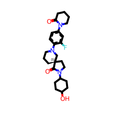 O=C1CCCCN1c1ccc(N2CCC[C@]3(CCN(C4CCC(O)CC4)C3=O)C2)c(F)c1